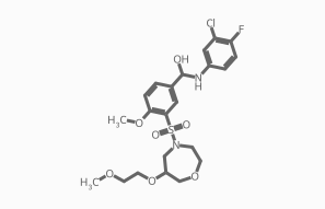 COCCOC1COCCN(S(=O)(=O)c2cc(C(O)Nc3ccc(F)c(Cl)c3)ccc2OC)C1